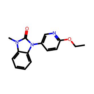 CCOc1ccc(-n2c(=O)n(C)c3ccccc32)cn1